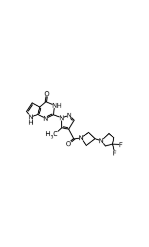 Cc1c(C(=O)N2CC(N3CCC(F)(F)C3)C2)cnn1-c1nc2[nH]ccc2c(=O)[nH]1